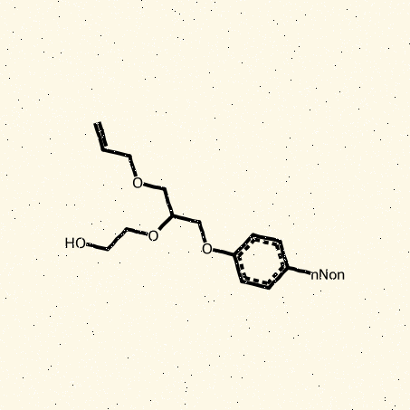 C=CCOCC(COc1ccc(CCCCCCCCC)cc1)OCCO